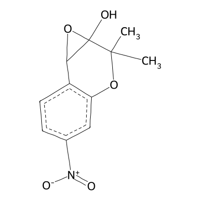 CC1(C)Oc2cc([N+](=O)[O-])ccc2C2OC21O